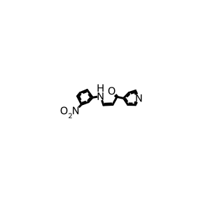 O=C(/C=C\Nc1cccc([N+](=O)[O-])c1)c1ccncc1